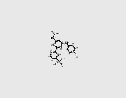 CC(C)Nc1cc(Nc2ccc(F)nc2)nc(-c2nccc(C(F)(F)F)n2)n1